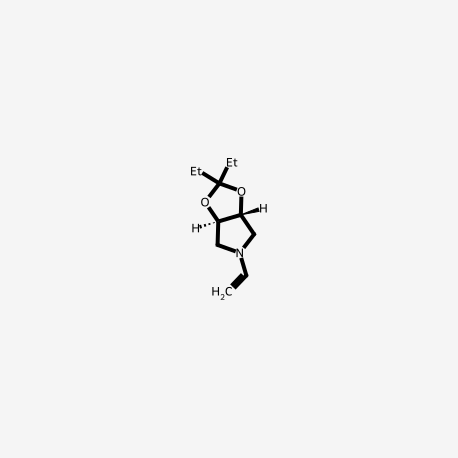 C=CN1C[C@H]2OC(CC)(CC)O[C@@H]2C1